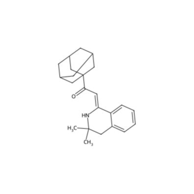 CC1(C)Cc2ccccc2C(=CC(=O)C23CC4CC(CC(C4)C2)C3)N1